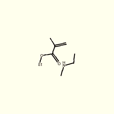 C=C(C)C(=O)OCC.CCNC